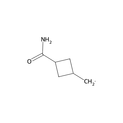 [CH2]C1CC(C(N)=O)C1